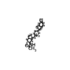 CC(=O)Nc1ccc2c(c1)C(CN1CCC(c3cc4ccc(Cl)cc4s3)CC1)CC2